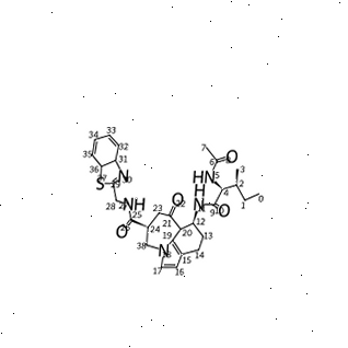 CC[C@H](C)[C@H](NC(C)=O)C(=O)N[C@H]1CCc2ccn3c2C1C(=O)C[C@H](C(=O)NCC1=NC2C=CC=CC2S1)C3